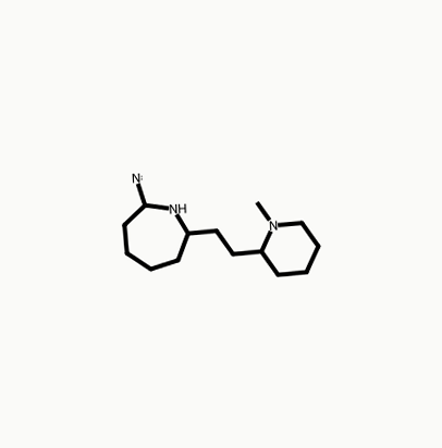 CN1CCCCC1CCC1CCCCC([N])N1